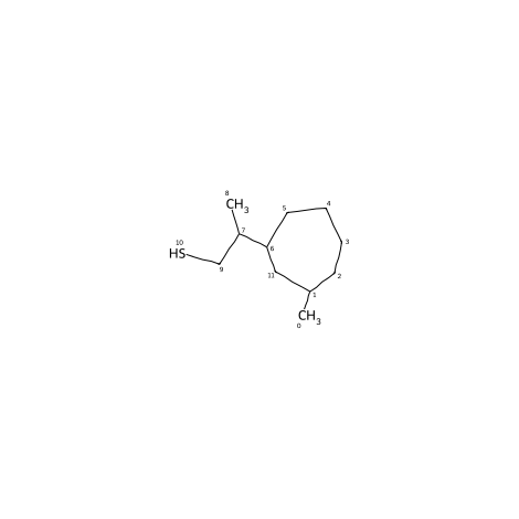 CC1CCCCC(C(C)CS)C1